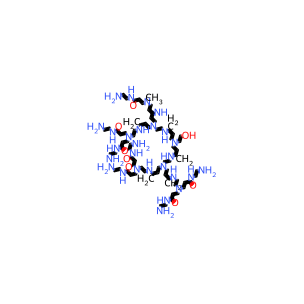 C=C(CCN(CCO)CCC(=C)NCCN(CCC(=C)NCCN(CCC(=O)NCCN)CCC(=O)NCCN)CCC(=N)CCN(C)CCC(=O)NCCN)NCCN(CCC(=C)NCCN(CCC(=O)NCCN)CCC(=O)NCCN)CCC(=C)NCCN(CCC(=O)NCCN)CCC(=O)NCCN